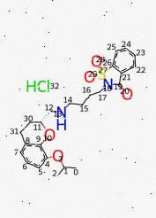 CC(C)Oc1cccc2c1O[C@@H](CNCCCCN1C(=O)c3ccccc3S1(=O)=O)CC2.Cl